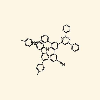 Cc1ccc(-c2ccc3c(c2)c2cc(-c4ccc(C)cc4)ccc2n3-c2c(-c3cccc(C#N)c3)cc(-c3cc(-c4ccccc4)nc(-c4ccccc4)n3)cc2-c2cccc(C#N)c2)cc1